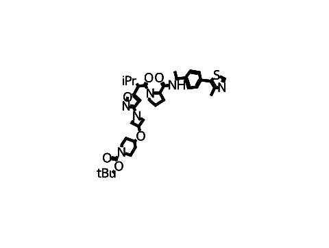 Cc1ncsc1-c1ccc(C(C)NC(=O)C2CCCN2C(=O)C(c2cc(N3CC(OC4CCN(C(=O)OC(C)(C)C)CC4)C3)no2)C(C)C)cc1